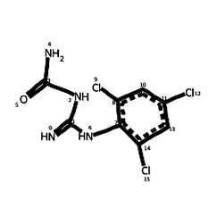 N=C(NC(N)=O)Nc1c(Cl)cc(Cl)cc1Cl